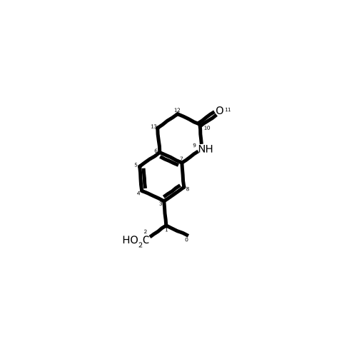 CC(C(=O)O)c1ccc2c(c1)NC(=O)CC2